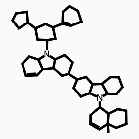 CC12C=CCC(N3C4CCCCC4C4CC(C5CCC6C(C5)C5C=CCCC5N6C5CC(C6=CCCCC6)CC(C6CCCC6)C5)CCC43)C1CCCC2